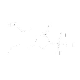 C=C/C=C1/CN(C(C)(C)C)C(=O)/C1=C/C=C